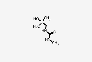 CNC(=O)NC[Si](C)(C)O